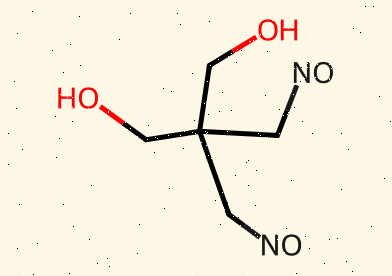 O=NCC(CO)(CO)CN=O